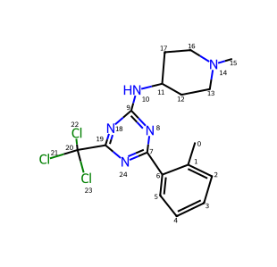 Cc1ccccc1-c1nc(NC2CCN(C)CC2)nc(C(Cl)(Cl)Cl)n1